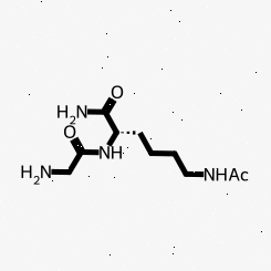 CC(=O)NCCCC[C@H](NC(=O)CN)C(N)=O